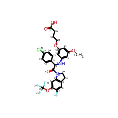 COc1cc(NC(C(=O)N2CCc3cc(F)c(OC(F)(F)F)cc32)c2ccc(Cl)cc2)cc(OCCCC(=O)O)c1